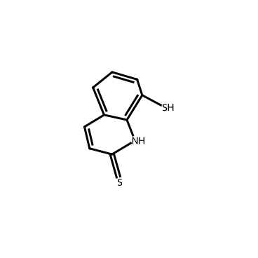 S=c1ccc2cccc(S)c2[nH]1